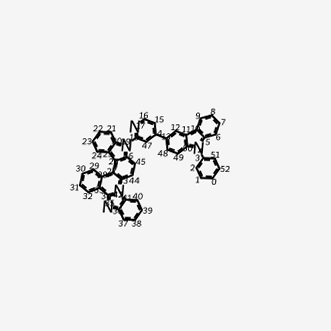 c1ccc(-n2c3ccccc3c3cc(-c4ccnc(-n5c6ccccc6c6c7c8ccccc8c8nc9ccccc9n8c7ccc65)c4)ccc32)cc1